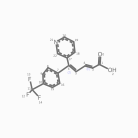 O=C(O)/C=C/C=C(/c1ccc(C(F)(F)F)cc1)c1cccnc1